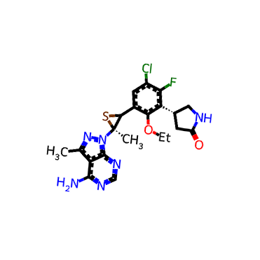 CCOc1c(C2S[C@]2(C)n2nc(C)c3c(N)ncnc32)cc(Cl)c(F)c1[C@@H]1CNC(=O)C1